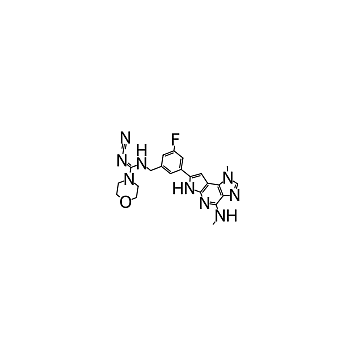 CNc1nc2[nH]c(-c3cc(F)cc(CN/C(=N\C#N)N4CCOCC4)c3)cc2c2c1ncn2C